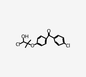 CC(C)(Oc1ccc(C(=O)c2ccc(Cl)cc2)cc1)C(O)Cl